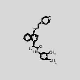 Cc1ccc(NC(=O)C(=O)c2ccc(OCCN3CCOCC3)c3ccccc23)cc1C